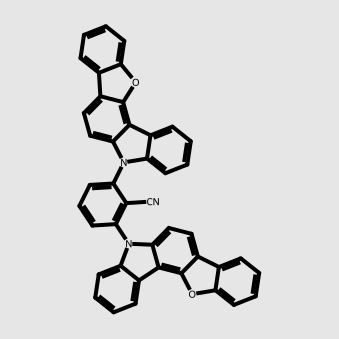 N#Cc1c(-n2c3ccccc3c3c4oc5ccccc5c4ccc32)cccc1-n1c2ccccc2c2c3oc4ccccc4c3ccc21